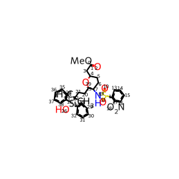 COC(=O)CC1CCC(NS(=O)(=O)c2ccccc2[N+](=O)[O-])C(CCC(C)(C)[Si](O)(c2ccccc2)c2ccccc2)O1